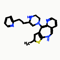 Cc1cc2c(s1)NC=c1cccnc1=C2N1CCNC(CCc2ccccn2)C1